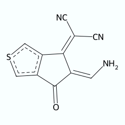 N#CC(C#N)=C1/C(=C\N)C(=O)c2cscc21